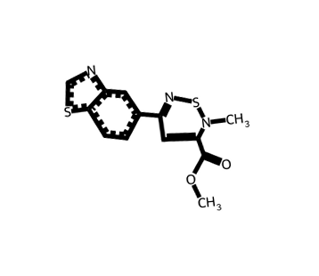 COC(=O)C1=CC(c2ccc3scnc3c2)=NSN1C